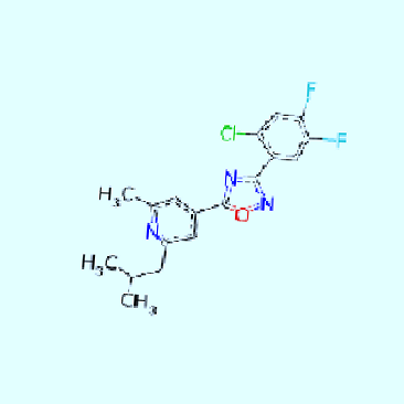 Cc1cc(-c2nc(-c3cc(F)c(F)cc3Cl)no2)cc(CC(C)C)n1